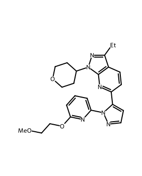 CCc1nn(C2CCOCC2)c2nc(-c3ccnn3-c3cccc(OCCOC)n3)ccc12